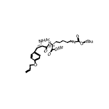 C=CCOc1ccc(C[C@H](NC(C)=O)C(=O)N[C@@H](CCCCCNC(=O)OC(C)(C)C)C(=O)OC)cc1